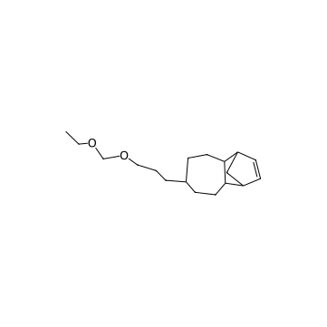 CCOCOCCCC1CCC2C3C=CC(C3)C2CC1